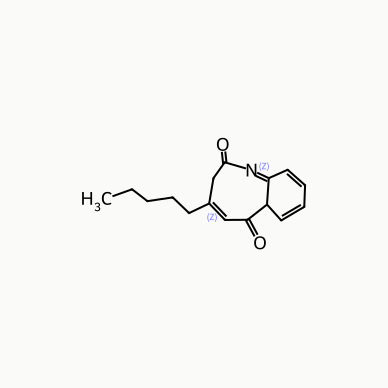 CCCCC/C1=C/C(=O)C2C=CC=C/C2=N/C(=O)C1